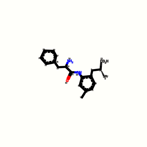 CCC[C@H](Cc1ccc(C)cc1NC(=O)C(N)Cc1ccccc1)C(=O)O